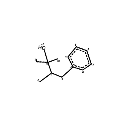 C[C](Cc1ccccc1)C(C)(C)O